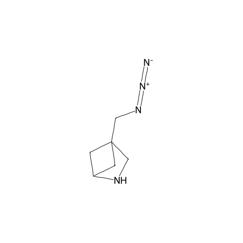 [N-]=[N+]=NCC12CNC(C1)C2